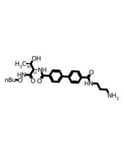 CCCCONC(=O)[C@@H](NC(=O)c1ccc(-c2ccc(C(=O)NCCCN)cc2)cc1)[C@@H](C)O